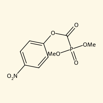 COP(=O)(OC)C(=O)Oc1ccc([N+](=O)[O-])cc1